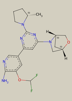 C[C@H]1CCCN1c1nc(-c2cnc(N)c(OC(F)F)c2)cc(N2C[C@@H]3C[C@H]2CO3)n1